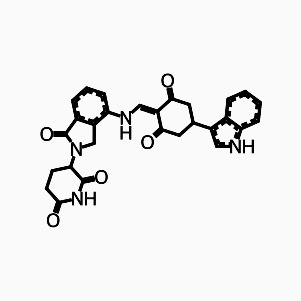 O=C1CCC(N2Cc3c(NC=C4C(=O)CC(c5c[nH]c6ccccc56)CC4=O)cccc3C2=O)C(=O)N1